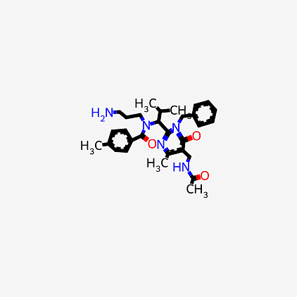 CC(=O)NCc1c(C)nc(C(C(C)C)N(CCCN)C(=O)c2ccc(C)cc2)n(Cc2ccccc2)c1=O